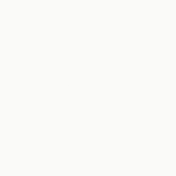 C=CC(=O)OC(CC(C)C)c1ccccc1